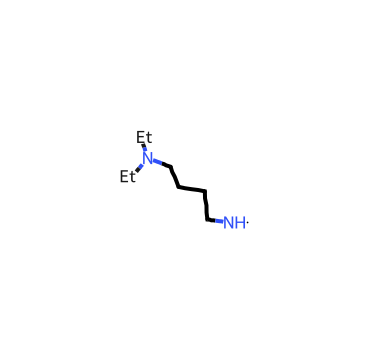 CCN(CC)CCCC[NH]